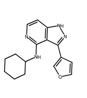 c1cc2[nH]nc(-c3ccoc3)c2c(NC2CCCCC2)n1